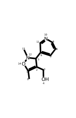 CC1=C(CO)C(c2cccnc2)N(C)O1